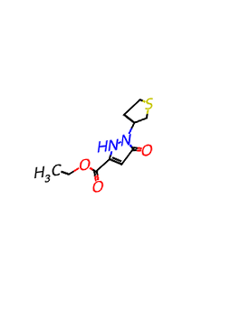 CCOC(=O)c1cc(=O)n(C2CCSC2)[nH]1